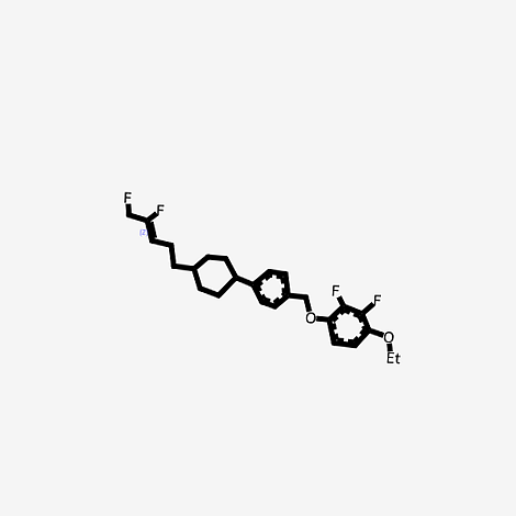 CCOc1ccc(OCc2ccc(C3CCC(CC/C=C(\F)CF)CC3)cc2)c(F)c1F